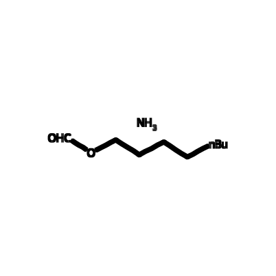 CCCCCCCCOC=O.N